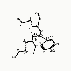 CCCCC(CC)C[SiH](CC(CC)CCCC)c1ccccc1